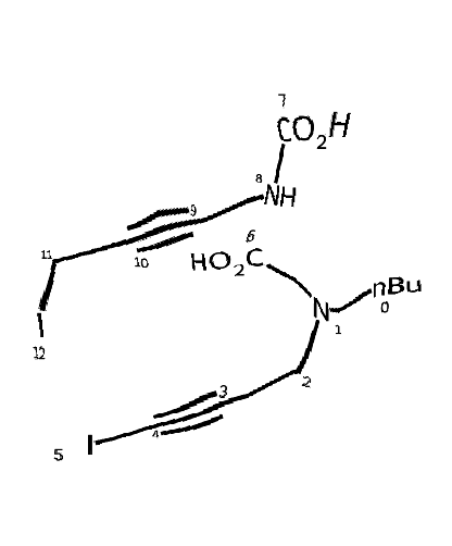 CCCCN(CC#CI)C(=O)O.O=C(O)NC#CCI